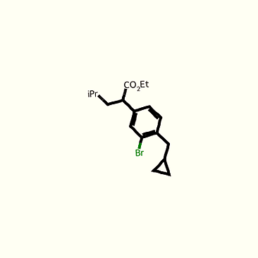 CCOC(=O)C(CC(C)C)c1ccc(CC2CC2)c(Br)c1